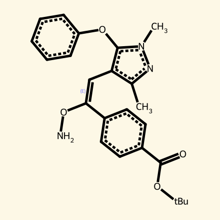 Cc1nn(C)c(Oc2ccccc2)c1/C=C(/ON)c1ccc(C(=O)OC(C)(C)C)cc1